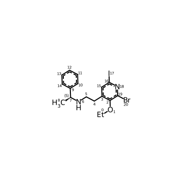 CCOc1c(CCN[C@@H](C)c2ccccc2)cc(I)nc1Br